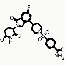 NC(=O)c1ccc(S(=O)(=O)N2CCC(c3cc(F)cc4c3CN(C3CCC(=O)NC3=O)C4=O)CC2)cc1